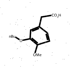 CCCCOc1cc(CC(=O)O)ccc1OC